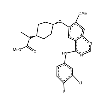 COC(=O)N(C)[C@H]1CC[C@@H](Oc2cc3c(Nc4ccc(F)c(Cl)c4)ncnc3cc2OC)CC1